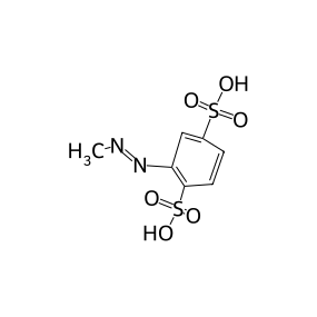 CN=Nc1cc(S(=O)(=O)O)ccc1S(=O)(=O)O